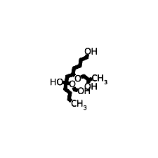 CCCCC(O)(CC(CCCCO)OCC(C)O)OCO